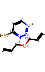 C=CCOCC=C.Sc1ccnnn1